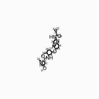 COc1cc(C(=O)Nc2cc(Oc3ccc4nc(NC(=O)C5CC5)cn4n3)ccc2C)n(C)n1